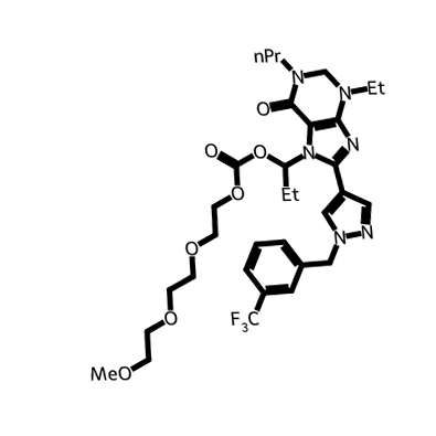 CCCN1CN(CC)c2nc(-c3cnn(Cc4cccc(C(F)(F)F)c4)c3)n(C(CC)OC(=O)OCCOCCOCCOC)c2C1=O